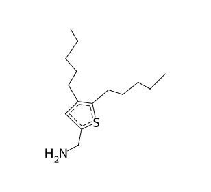 CCCCCc1cc(CN)sc1CCCCC